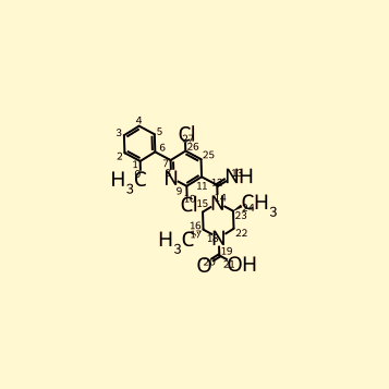 Cc1ccccc1-c1nc(Cl)c(C(=N)N2C[C@@H](C)N(C(=O)O)C[C@@H]2C)cc1Cl